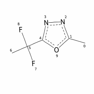 Cc1nnc(C(C)(F)F)o1